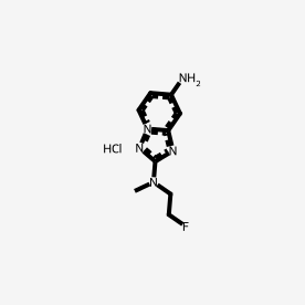 CN(CCF)c1nc2cc(N)ccn2n1.Cl